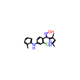 Cc1cc(C)c(C(=NO)c2ccc(Nc3ccccc3C)cc2Cl)[nH]1